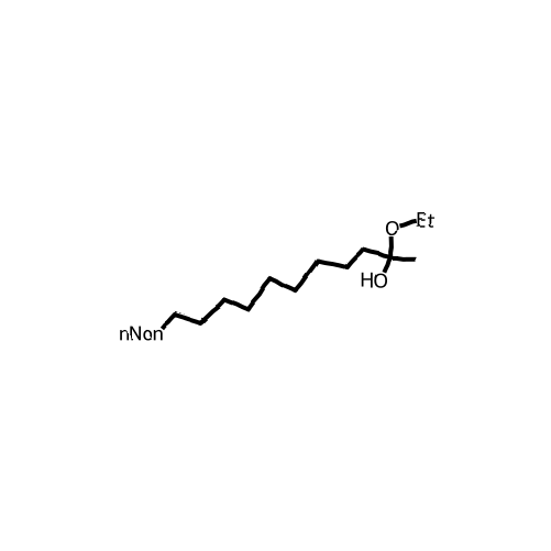 CCCCCCCCCCCCCCCCCCC(C)(O)OCC